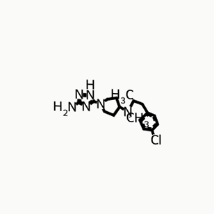 C[C@H](Cc1ccc(Cl)cc1)N(C)C1CCN(c2nc(N)n[nH]2)CC1